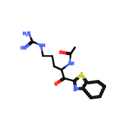 CC(=O)NC(CCCNC(=N)N)C(=O)c1nc2ccccc2s1